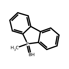 B=P1(C)c2ccccc2-c2ccccc21